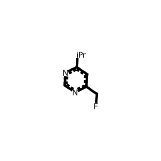 CC(C)c1cc(CF)ncn1